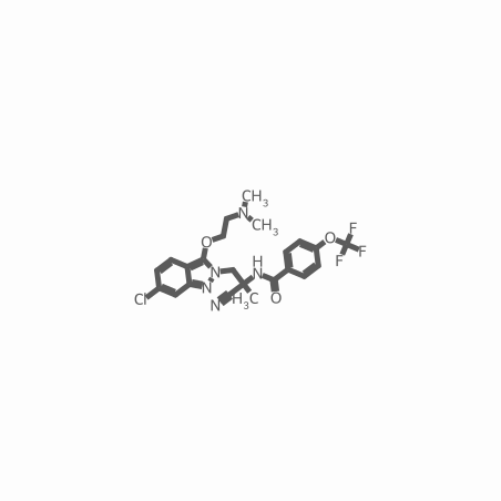 CN(C)CCOc1c2ccc(Cl)cc2nn1CC(C)(C#N)NC(=O)c1ccc(OC(F)(F)F)cc1